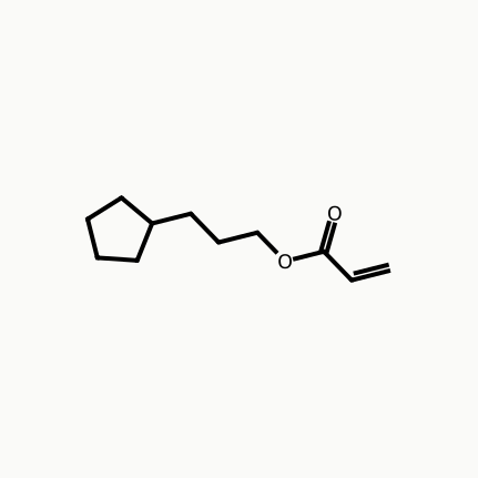 C=CC(=O)OCCCC1CCCC1